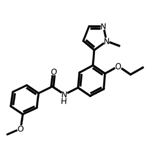 CCOc1ccc(NC(=O)c2cccc(OC)c2)cc1-c1ccnn1C